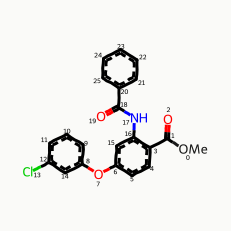 COC(=O)c1ccc(Oc2cccc(Cl)c2)cc1NC(=O)c1ccccc1